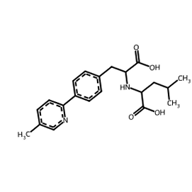 Cc1ccc(-c2ccc(CC(NC(CC(C)C)C(=O)O)C(=O)O)cc2)nc1